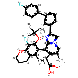 Cc1cn2cc(-c3cccc(-c4ccc(F)cc4)c3)nc2c(-c2c(C)c3c(c(F)c2OC(C)(C)C)OCCC3)c1CC(=O)O